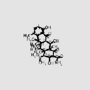 Cc1ccc(O)c2c1C(C)(C)C1(C)C(C2=O)C(O)C2(C)C(=O)C(C(N)=O)=C(O)C(N(C)C)C2(C)C1C